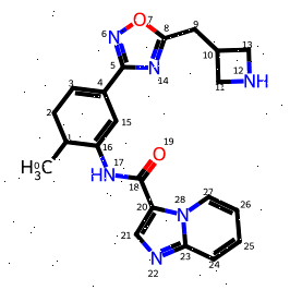 CC1CC=C(c2noc(CC3CNC3)n2)C=C1NC(=O)c1cnc2ccccn12